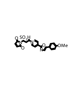 COc1ccc(-c2cnc(-c3cc[n+](C(CCN4C(=O)C=CC4=O)S(=O)(=O)O)cc3)o2)cc1